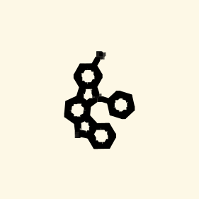 Brc1ccc2c3ccc4sc5ccccc5c4c3n(-c3ccccc3)c2c1